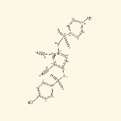 Cc1ccc(S(=O)(=O)Oc2ccc(OS(=O)(=O)c3ccc(C)cc3)c(C#N)c2C#N)cc1